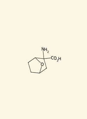 NC1(C(=O)O)CC2CCC1O2